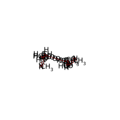 Cc1ncsc1-c1ccc(CNC(=O)[C@@H]2[C@@H](F)[C@@H](O)CN2C(=O)C(NC(=O)COCCOCCOCCOCCOCCOCC(=O)N[C@H](C(=O)N2C[C@H](O)[C@H](F)[C@H]2C(=O)NCc2ccc(-c3scnc3C)cc2)C(C)(C)C)C(C)(C)C)cc1